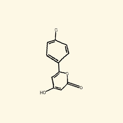 O=c1cc(O)cc(-c2ccc(Cl)cc2)o1